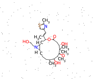 C/C(=C\c1csc(C)n1)C1C[C@H]2[C@@H](CCC[C@H](C)[C@H](O)[C@@H](C)C(=O)C(C)(C)[C@@H](O)CC(=O)O1)N2CCO